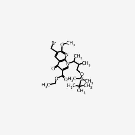 CCOC(=O)c1cn(C(C)C(C)CO[Si](C)(C)C(C)(C)C)c2nc(OC)c(CBr)cc2c1=O